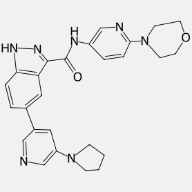 O=C(Nc1ccc(N2CCOCC2)nc1)c1n[nH]c2ccc(-c3cncc(N4CCCC4)c3)cc12